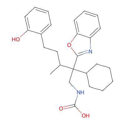 CC(CCc1ccccc1O)C(CNC(=O)O)(c1nc2ccccc2o1)C1CCCCC1